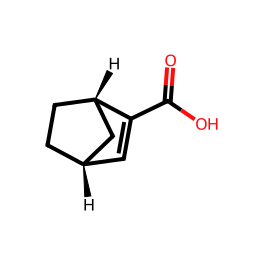 O=C(O)C1=C[C@@H]2CC[C@H]1C2